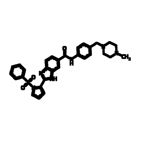 CN1CCN(Cc2ccc(NC(=O)c3ccc4nc(-c5cccn5S(=O)(=O)c5ccccc5)[nH]c4c3)cc2)CC1